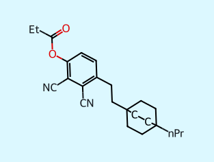 CCCC12CCC(CCc3ccc(OC(=O)CC)c(C#N)c3C#N)(CC1)CC2